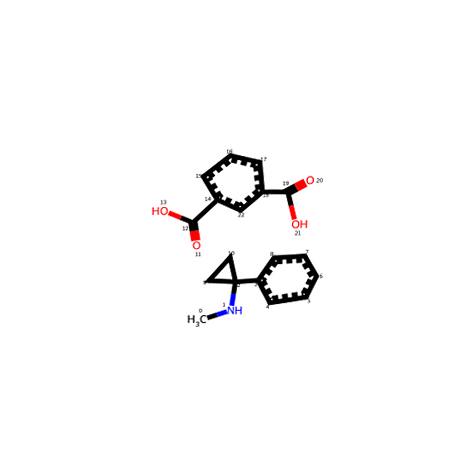 CNC1(c2ccccc2)CC1.O=C(O)c1cccc(C(=O)O)c1